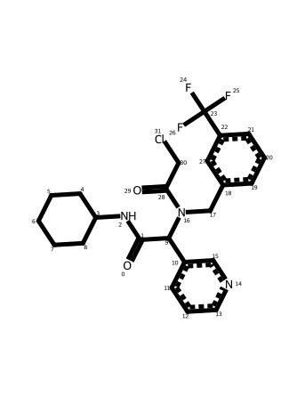 O=C(NC1CCCCC1)C(c1cccnc1)N(Cc1cccc(C(F)(F)F)c1)C(=O)CCl